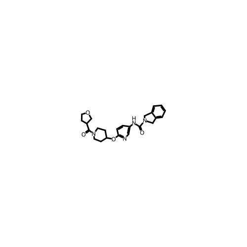 O=C(Nc1ccc(OC2CCN(C(=O)C3CCOC3)CC2)nc1)N1Cc2ccccc2C1